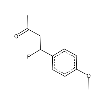 COc1ccc(C(F)CC(C)=O)cc1